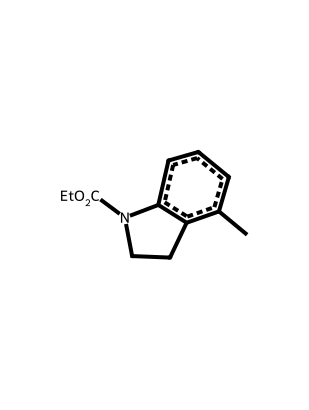 CCOC(=O)N1CCc2c(C)cccc21